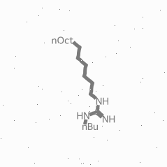 CCCCCCCCCCCCCCNC(=N)NCCCC